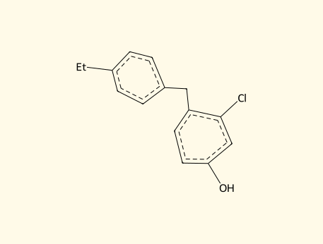 CCc1ccc(Cc2ccc(O)cc2Cl)cc1